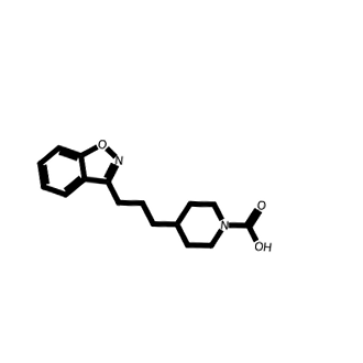 O=C(O)N1CCC(CCCc2noc3ccccc23)CC1